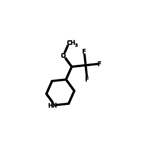 COC(C1CCNCC1)C(F)(F)F